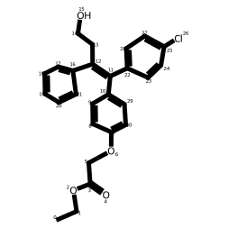 CCOC(=O)COc1ccc(C(=C(CCO)c2ccccc2)c2ccc(Cl)cc2)cc1